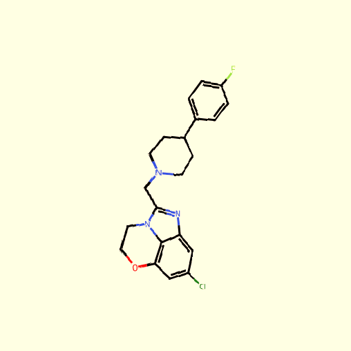 Fc1ccc(C2CCN(Cc3nc4cc(Cl)cc5c4n3CCO5)CC2)cc1